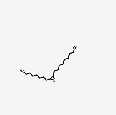 CC(=O)CCCCCCCC1OC1CCCCCCCCO